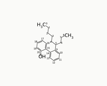 CCCCCC(CCC)c1ccccc1-c1ccccc1O